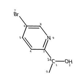 C[14CH](O)c1ccc(Br)cn1